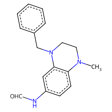 CN1CCN(Cc2ccccc2)c2cc(NC=O)ccc21